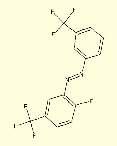 Fc1ccc(C(F)(F)F)cc1N=Nc1cccc(C(F)(F)F)c1